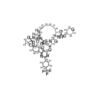 CC1(S(=O)(=O)NC(=O)[C@@]23C[C@H]2/C=C\CCCCC[C@H](NC(=O)OC2CCOCC2)C(=O)N2C[C@H](Oc4nc(-c5ccc(C(F)(F)F)cc5)nc5c4oc4ccccc45)C[C@H]2C(=O)N3)CC1